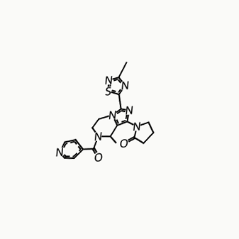 Cc1nsc(-c2nc(N3CCCC3=O)c3n2CCN(C(=O)c2ccncc2)C3C)n1